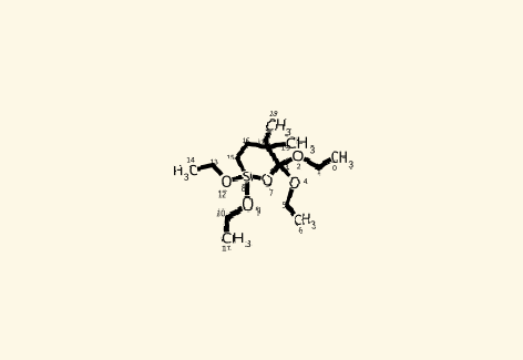 CCOC1(OCC)O[Si](OCC)(OCC)CCC1(C)C